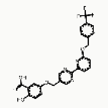 O=C(O)c1cc(OCc2cnc(-c3cccc(OCc4ccc(C(F)(F)F)cc4)n3)nc2)ccc1O